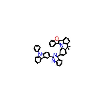 CC1(C)c2ccc(-c3nc(-c4ccc5c(c4)c4ccccc4n5-c4ccccc4)nc4ccccc34)cc2-n2c3c1cccc3c1oc3ccccc3c12